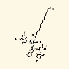 C#C[C@]1(CO[P@@](=O)(N[C@@H](Cc2cc(F)cc(F)c2)C(=O)OC(C)C)Oc2ccccc2)O[C@@H](n2cnc3c(N)nc(F)nc32)C[C@@H]1OC(=O)CCCCCCCCCCCCCCC